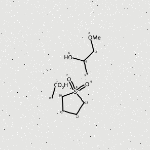 CC(=O)O.COCC(C)O.O=S1(=O)CCCC1